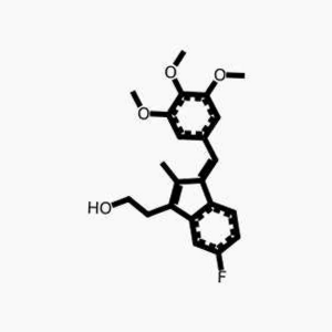 COc1cc(C=C2C(C)=C(CCO)c3cc(F)ccc32)cc(OC)c1OC